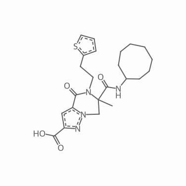 CC1(C(=O)NC2CCCCCCC2)Cn2nc(C(=O)O)cc2C(=O)N1CCc1cccs1